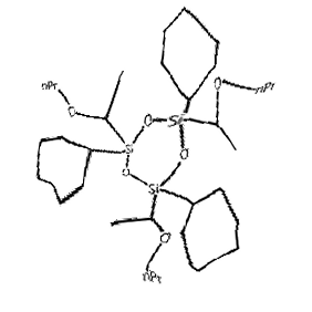 CCCOC(C)[Si]1(C2CCCCC2)O[Si](C2CCCCC2)(C(C)OCCC)O[Si](C2CCCCC2)(C(C)OCCC)O1